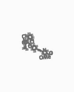 COC(=O)c1ccc(C#Cc2ccc(OCc3c(-c4c(Cl)cccc4Cl)noc3C3CC3)cc2)nc1